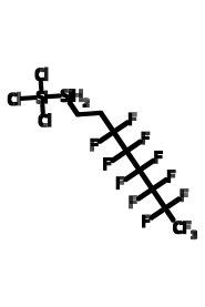 FC(F)(F)C(F)(F)C(F)(F)C(F)(F)C(F)(F)C(F)(F)CC[SiH2][Si](Cl)(Cl)Cl